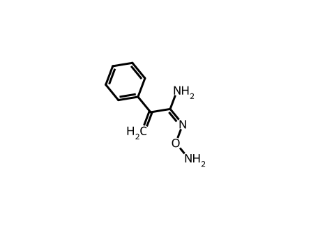 C=C(/C(N)=N\ON)c1ccccc1